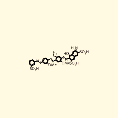 COc1cc(N=Nc2cccc(S(=O)(=O)O)c2)ccc1N=Nc1cc(OC)c(N=Nc2c(S(=O)(=O)O)cc3cc(S(=O)(=O)O)c(N)cc3c2O)cc1C